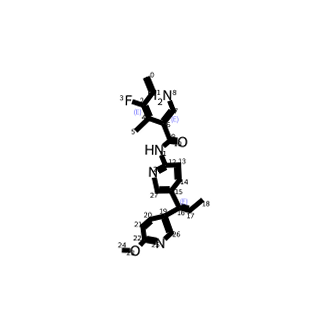 C=C/C(F)=C(C)\C(=C/N)C(=O)Nc1ccc(/C(=C\C)c2ccc(OC)nc2)cn1